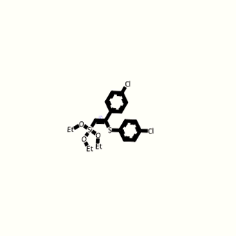 CCO[Si](/C=C(\Sc1ccc(Cl)cc1)c1ccc(Cl)cc1)(OCC)OCC